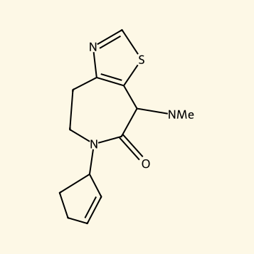 CNC1C(=O)N(C2C=CCC2)CCc2ncsc21